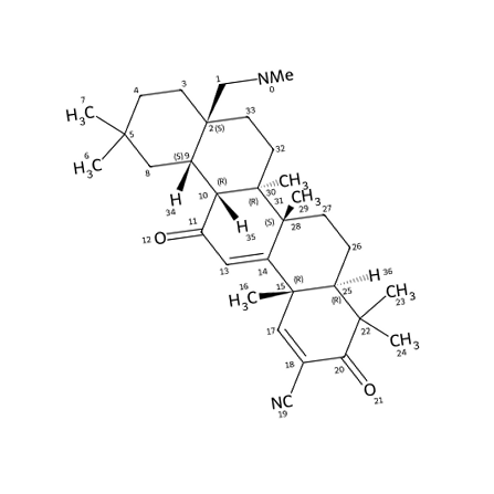 CNC[C@]12CCC(C)(C)C[C@H]1[C@H]1C(=O)C=C3[C@@]4(C)C=C(C#N)C(=O)C(C)(C)[C@@H]4CC[C@@]3(C)[C@]1(C)CC2